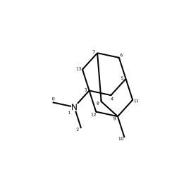 CN(C)C12CC3CC(CC(C)(C3)C1)C2